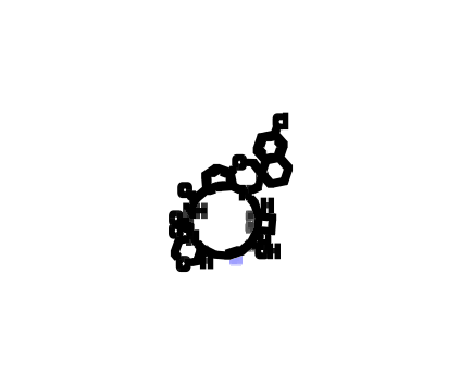 O=C1NS(=O)(=O)N2CCOC[C@H]2C/C=C\[C@H](O)[C@@H]2CC[C@H]2CN2C[C@@]3(CCCc4cc(Cl)ccc43)COc3ccc1cc32